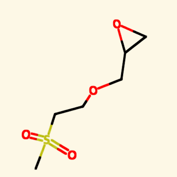 CS(=O)(=O)CCOCC1CO1